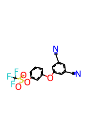 N#Cc1cc(C#N)cc(Oc2cccc(OS(=O)(=O)C(F)(F)F)c2)c1